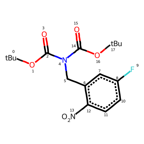 CC(C)(C)OC(=O)N(Cc1cc(F)ccc1[N+](=O)[O-])C(=O)OC(C)(C)C